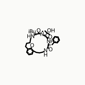 CCC(C)[C@@H]1NCC2CCc3cccc(c3O2)CCCNC(=O)[C@@H](Cc2ccccc2)NC(=O)[C@H](C(C)(C)O)N(C)C1=O